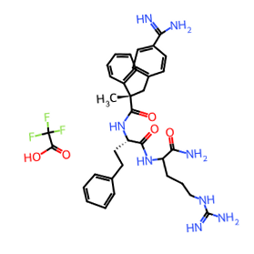 C[C@@](Cc1ccc(C(=N)N)cc1)(C(=O)N[C@@H](CCc1ccccc1)C(=O)NC(CCCNC(=N)N)C(N)=O)c1ccccc1.O=C(O)C(F)(F)F